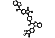 O=C(c1nc2ccccc2n1-c1ccc2[nH]c(=O)[nH]c2c1)N1CCC(n2c(=O)[nH]c3cc(C(=O)N4CCc5ccccc54)cnc32)CC1